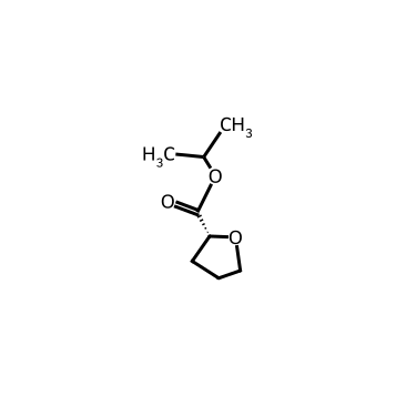 CC(C)OC(=O)[C@H]1CCCO1